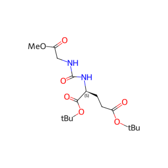 COC(=O)CNC(=O)N[C@@H](CCC(=O)OC(C)(C)C)C(=O)OC(C)(C)C